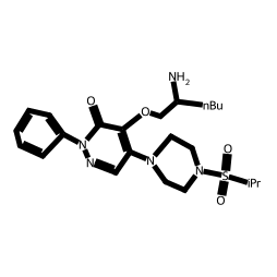 CCCCC(N)COc1c(N2CCN(S(=O)(=O)C(C)C)CC2)cnn(-c2ccccc2)c1=O